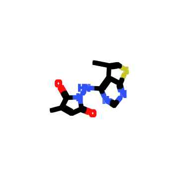 CC1=CC(=O)N(Nc2ncnc3scc(C)c23)C1=O